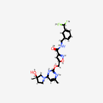 Cc1cc(N2CC[C@](C)(O)C2)nc(OCc2cc(C(=O)NCc3cccc(C(F)F)c3)no2)n1